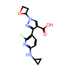 O=C(O)c1cn(C2CCO2)nc1-c1ccc(NC2CC2)nc1F